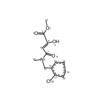 COC(=O)C(O)=CC(=O)N(C)Cc1ccccc1Cl